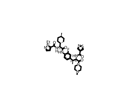 CCn1nccc1C(=O)N[C@H](C(=O)Nc1ccc([C@H](C)[C@@H](NC(=O)c2cnsc2)C(=O)N2CCN(C)CC2)cc1F)[C@H]1CC[C@H](C)CC1